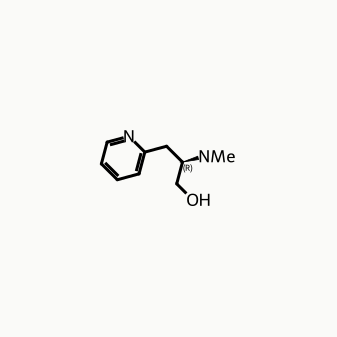 CN[C@@H](CO)Cc1ccccn1